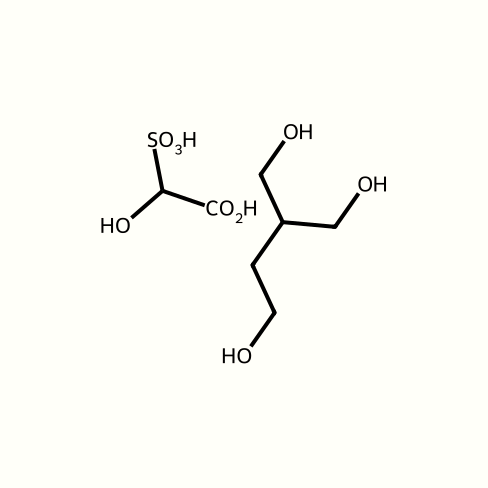 O=C(O)C(O)S(=O)(=O)O.OCCC(CO)CO